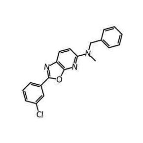 CN(Cc1ccccc1)c1ccc2nc(-c3cccc(Cl)c3)oc2n1